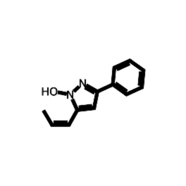 C/C=C\c1cc(-c2ccccc2)nn1O